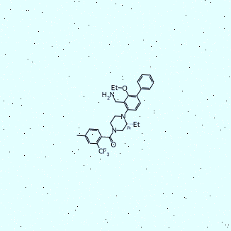 CCOc1c(-c2ccccc2)ccc(N2CCN(C(=O)c3ccc(C)cc3C(F)(F)F)C[C@H]2CC)c1CN